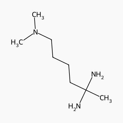 CN(C)CCCCC(C)(N)N